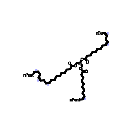 CCCC/C=C\C/C=C\CCCCCCCC(=O)O[C@H](COC(=O)CCCCCCC/C=C\CCCCC)COC(=O)CCCCCCCC/C=C\C/C=C\C/C=C\CCCCC